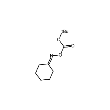 CC(C)(C)OC(=O)ON=C1CCCCC1